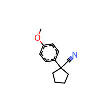 COc1ccc(C2(C#N)CCCC2)cc1